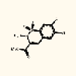 COC(=O)C1=Cc2cc(Cl)c(Cl)cc2S(=O)(=O)N1C